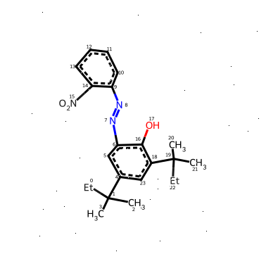 CCC(C)(C)c1cc(N=Nc2ccccc2[N+](=O)[O-])c(O)c(C(C)(C)CC)c1